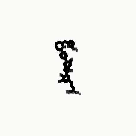 C[C@H](N)CCCc1cc(Cl)c(F)c(-c2cc3cn(-c4ccc([C@@H]5CCCC[C@@H](Cc6cnc(N)o6)N5)cc4)c(=O)nc3[nH]2)c1